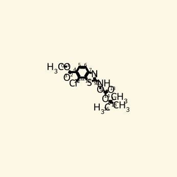 COC(=O)c1ccc2nc(NOC(=O)OC(C)(C)C)sc2c1Cl